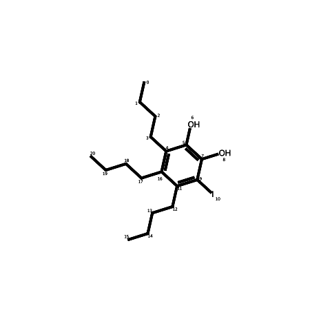 CCCCc1c(O)c(O)c(I)c(CCCC)c1CCCC